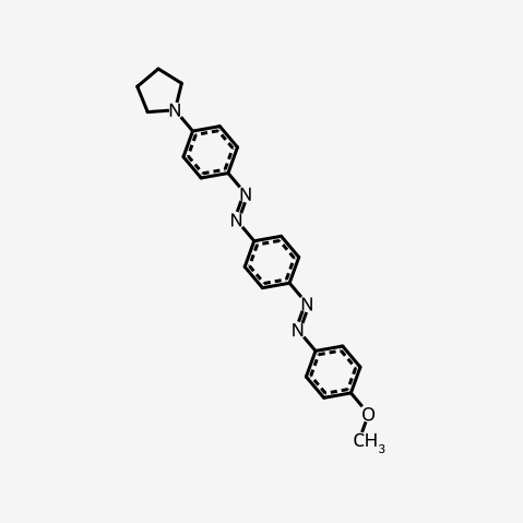 COc1ccc(N=Nc2ccc(N=Nc3ccc(N4CCCC4)cc3)cc2)cc1